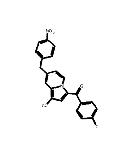 CC(=O)c1cc(C(=O)c2ccc(F)cc2)n2ccc(Cc3ccc([N+](=O)[O-])cc3)cc12